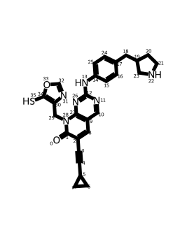 O=c1c(C#CC2CC2)cc2cnc(Nc3ccc(CC4CCNC4)cc3)nc2n1Cc1ncoc1S